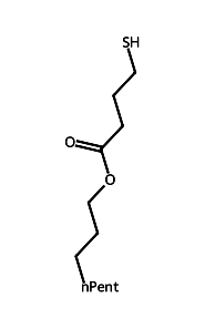 CCCCCCCCOC(=O)CCCS